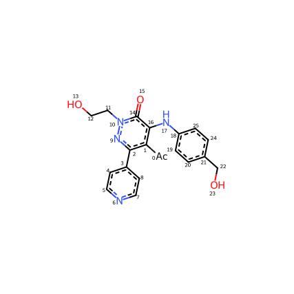 CC(=O)c1c(-c2ccncc2)nn(CCO)c(=O)c1Nc1ccc(CO)cc1